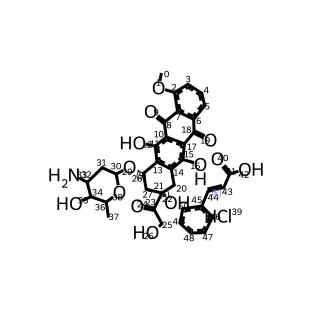 COc1cccc2c1C(=O)c1c(O)c3c(c(O)c1C2=O)C[C@@](O)(C(=O)CO)C[C@@H]3OC1CC(N)C(O)C(C)O1.Cl.O=C(O)/C=C/c1ccccc1